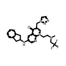 CN(CCn1cc(Cn2ccnn2)c(=O)c2cc(NC3Cc4ccccc4C3)cnc21)CC(F)(F)F